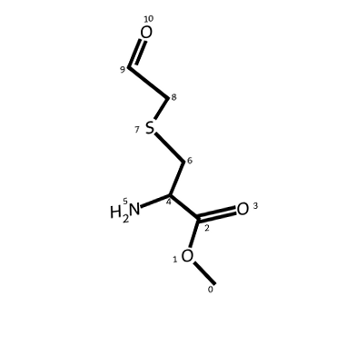 COC(=O)C(N)CSCC=O